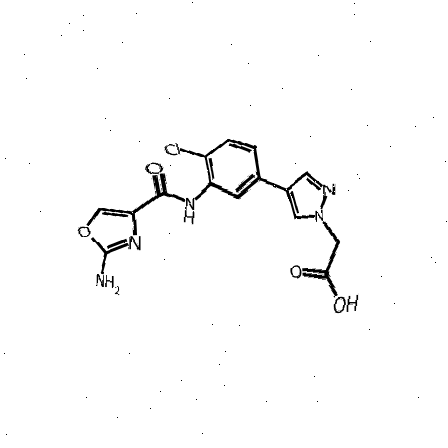 Nc1nc(C(=O)Nc2cc(-c3cnn(CC(=O)O)c3)ccc2Cl)co1